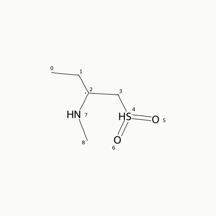 CC[C](C[SH](=O)=O)NC